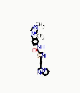 CN1CCN(Cc2ccc(NC(=O)c3cnc(C#Cc4cnc5ccccn45)s3)cc2C(F)(F)F)CC1